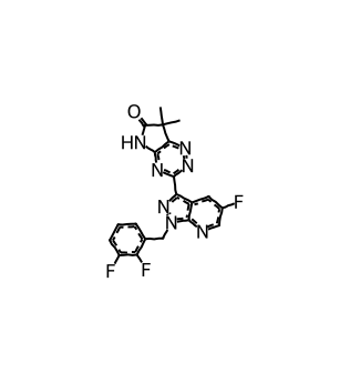 CC1(C)C(=O)Nc2nc(-c3nn(Cc4cccc(F)c4F)c4ncc(F)cc34)nnc21